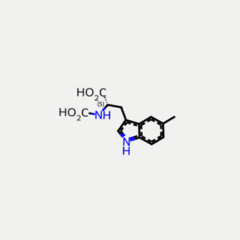 Cc1ccc2[nH]cc(C[C@H](NC(=O)O)C(=O)O)c2c1